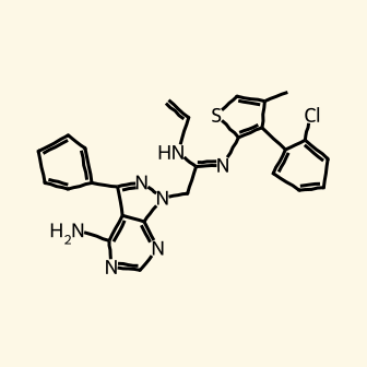 C=CN/C(Cn1nc(-c2ccccc2)c2c(N)ncnc21)=N\c1scc(C)c1-c1ccccc1Cl